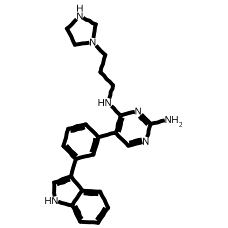 Nc1ncc(-c2cccc(-c3c[nH]c4ccccc34)c2)c(NCCCN2CCNC2)n1